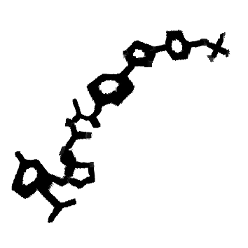 Cc1ccc(C(C)C)c(N2CCS/C2=N\C(=O)NC(C)C(C)c2ccc(-c3ncn(-c4ccc(OC(F)(F)F)cc4)n3)cc2)c1